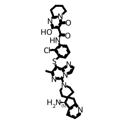 Cc1nc(N2CCC3(CC2)Cc2ncccc2[C@H]3N)n2ccnc2c1Sc1cccc(NC(=O)c2c(O)nc3n(c2=O)CCCC3)c1Cl